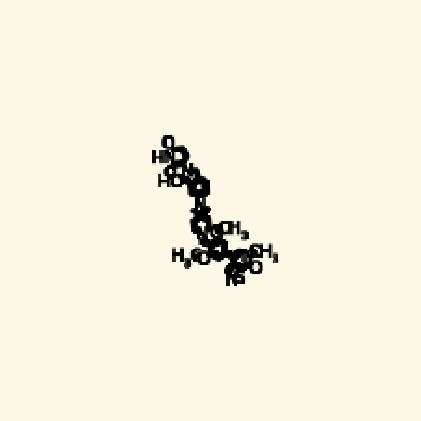 COc1cc(-c2cn(C)c(=O)c3sncc23)cc(OC)c1CN1CCC2(CC1)CN(c1ccc3c(c1)C(O)N(C1CCC(=O)NC1=O)C3)C2